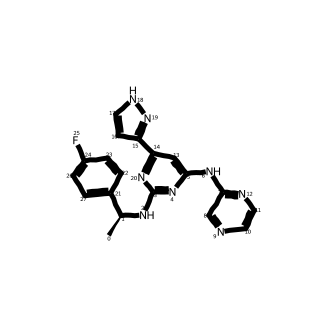 C[C@H](Nc1nc(Nc2cnccn2)cc(-c2cc[nH]n2)n1)c1ccc(F)cc1